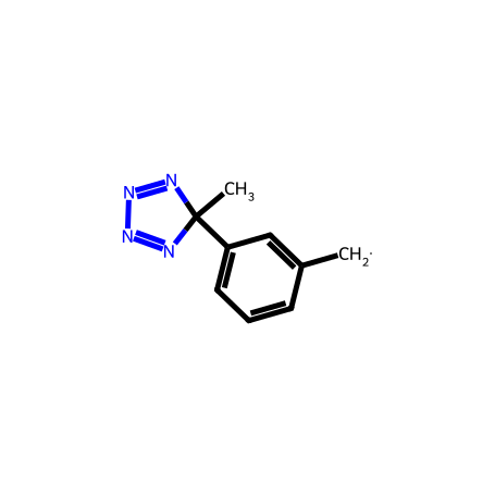 [CH2]c1cccc(C2(C)N=NN=N2)c1